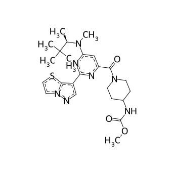 COC(=O)NC1CCN(C(=O)c2cc(N(C)[C@H](C)C(C)(C)C)nc(-c3cnn4ccsc34)n2)CC1